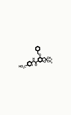 CC1(C)Cc2c(OCc3ccccc3)cc(C(=O)Nc3ccc(C(=O)O)cn3)cc2O1